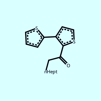 CCCCCCCCC(=O)c1sccc1-c1cccs1